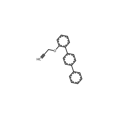 C#CCOc1ccccc1-c1ccc(-c2ccccc2)cc1